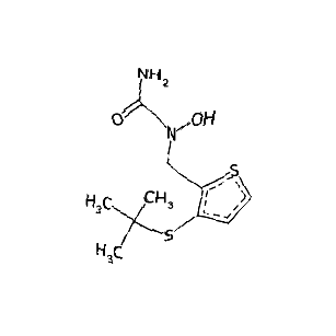 CC(C)(C)Sc1ccsc1CN(O)C(N)=O